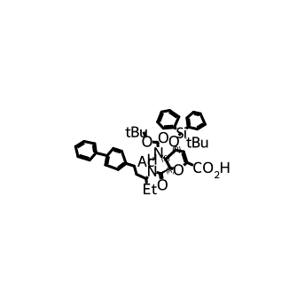 CCC(CCc1ccc(-c2ccccc2)cc1)NC(=O)[C@@H]1OC(C(=O)O)=C[C@@H](O[Si](c2ccccc2)(c2ccccc2)C(C)(C)C)[C@H]1N(C(C)=O)C(=O)OC(C)(C)C